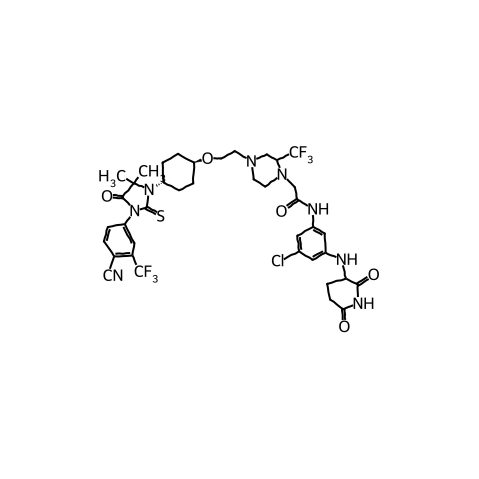 CC1(C)C(=O)N(c2ccc(C#N)c(C(F)(F)F)c2)C(=S)N1[C@H]1CC[C@H](OCCN2CCN(CC(=O)Nc3cc(Cl)cc(NC4CCC(=O)NC4=O)c3)C(C(F)(F)F)C2)CC1